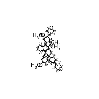 COc1ccc(C2(c3ccc(N4CCOCC4)cc3)C=Cc3c4c(c5ccccc5c3O2)-c2cc(OC)c(N3CCOCC3)cc2C4(C)C)cc1